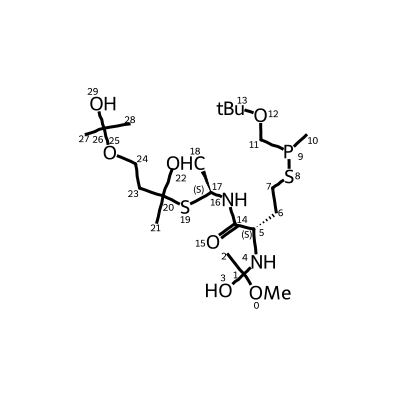 COC(C)(O)N[C@@H](CCSP(C)COC(C)(C)C)C(=O)N[C@H](C=O)SC(C)(C)CCOC(C)(C)O